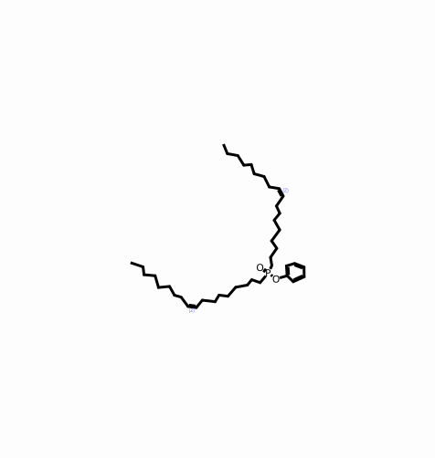 CCCCCCCC/C=C\CCCCCCCCP(=O)(CCCCCCCC/C=C\CCCCCCCC)Oc1ccccc1